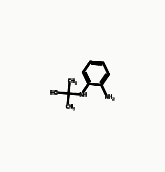 CC(C)(O)Nc1ccccc1N